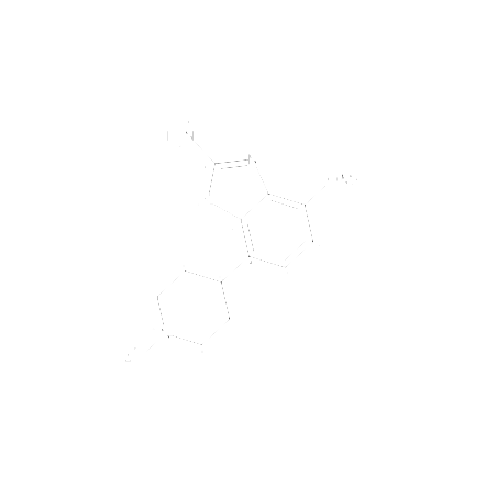 COc1ccc(C2CCN(C(C)=O)CC2)c2sc(N)nc12